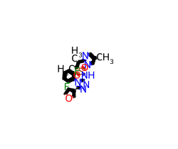 Cc1cnc(C(C)C(C)S(=O)(=O)Nc2nnc([C@H]3CCOC3)n2-c2c(F)cccc2F)nc1